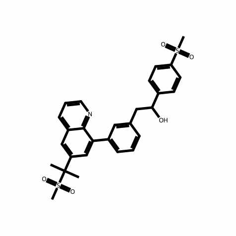 CC(C)(c1cc(-c2cccc(CC(O)c3ccc(S(C)(=O)=O)cc3)c2)c2ncccc2c1)S(C)(=O)=O